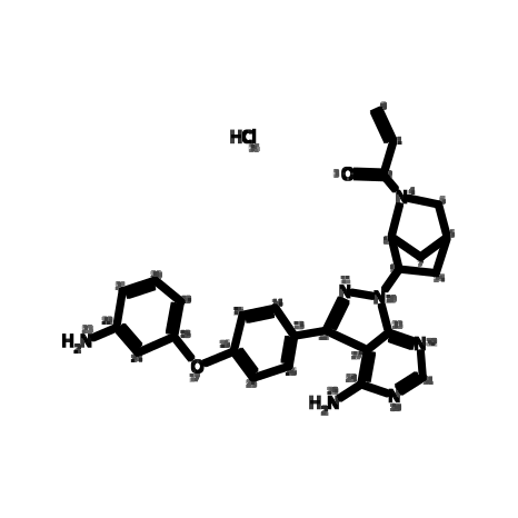 C=CC(=O)N1CC2CC1C(n1nc(-c3ccc(Oc4cccc(N)c4)cc3)c3c(N)ncnc31)C2.Cl